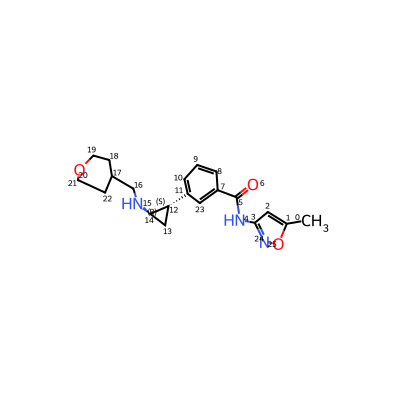 Cc1cc(NC(=O)c2cccc([C@@H]3C[C@H]3NCC3CCOCC3)c2)no1